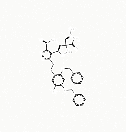 CC(C)c1cc(CCc2onc(C(N)=O)c2C2=CC(C=NO)(C(N)=O)NO2)c(OCc2ccccc2)cc1OCc1ccccc1